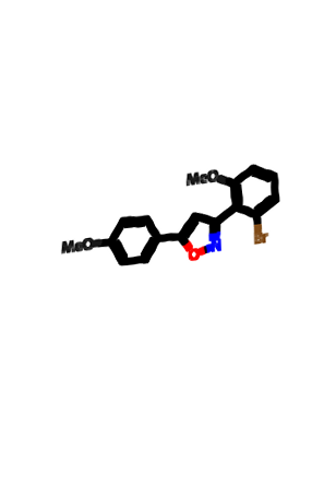 COc1ccc(-c2cc(-c3c(Br)cccc3OC)no2)cc1